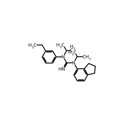 CCc1cccc(N(C(=N)N(c2cccc3c2CCC3)C(C)C)C(C)C)c1